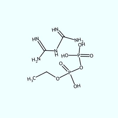 CCOP(=O)(O)OP(=O)(O)O.N=C(N)NC(=N)N